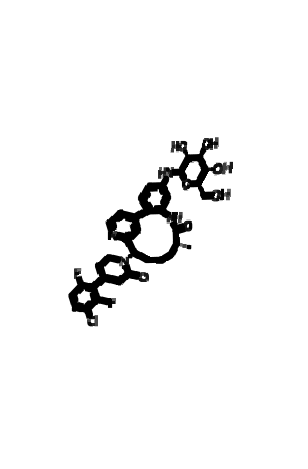 C[C@@H]1CCC[C@H](N2CCC(c3c(F)ccc(Cl)c3F)=CC2=O)c2cc(ccn2)-c2ccc(NC3O[C@H](CO)[C@@H](O)[C@H](O)[C@H]3O)cc2NC1=O